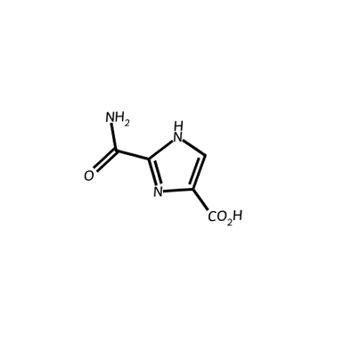 NC(=O)c1nc(C(=O)O)c[nH]1